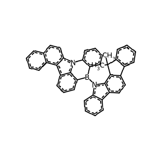 CC1(C)c2ccccc2-c2ccc3c4ccccc4n(B4c5ccccc5-n5c6ccc7ccccc7c6c6cccc4c65)c3c21